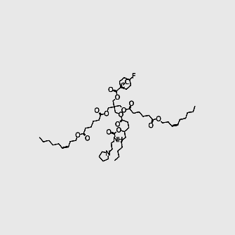 CCCCC/C=C\CCOC(=O)CCCCC(=O)OCC(COC(=O)CCCCC(=O)OCC/C=C\CCCCC)(COC(=O)CCC(CCCCCC)OC(=O)NCCN1CCCC1)COC(=O)C12CCC(F)(CC1)CC2